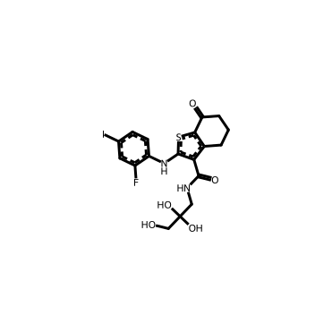 O=C1CCCc2c1sc(Nc1ccc(I)cc1F)c2C(=O)NCC(O)(O)CO